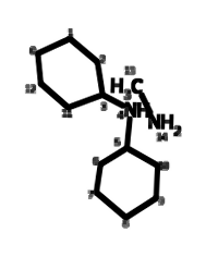 C1CCC(NC2CCCCC2)CC1.CN